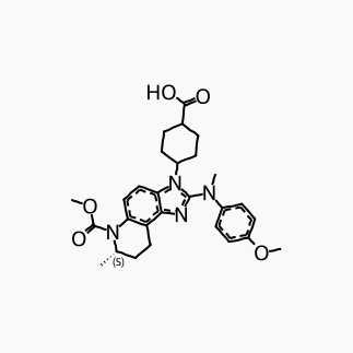 COC(=O)N1c2ccc3c(nc(N(C)c4ccc(OC)cc4)n3C3CCC(C(=O)O)CC3)c2CC[C@@H]1C